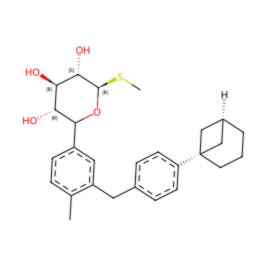 CS[C@H]1OC(c2ccc(C)c(Cc3ccc([C@]45CCC[C@H](C4)C5)cc3)c2)[C@H](O)[C@@H](O)[C@@H]1O